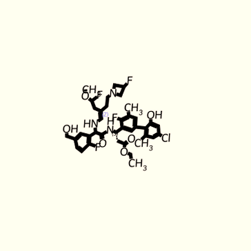 CCOC(=O)C[C@H](NC(=O)C(N/C=C(/CCN1CC(F)C1)CC(F)OC)c1cc(CO)ccc1F)c1cc(-c2c(C)cc(Cl)cc2O)cc(C)c1F